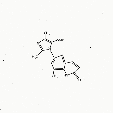 CSc1c(C)nc(C)n1-c1cc(C)c2[nH]c(=O)ccc2c1